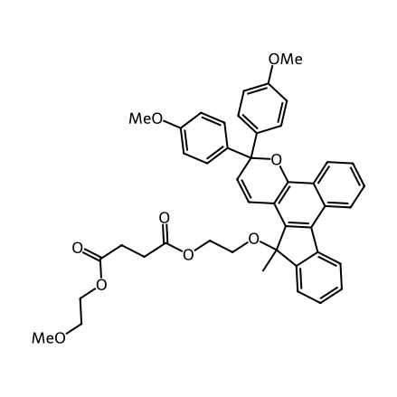 COCCOC(=O)CCC(=O)OCCOC1(C)c2ccccc2-c2c1c1c(c3ccccc23)OC(c2ccc(OC)cc2)(c2ccc(OC)cc2)C=C1